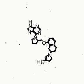 OC1CCN(C2CCc3cccc(OCC4CCCN4c4ncnc5[nH]cnc45)c3C2)C1